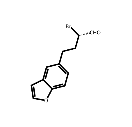 O=C[C@@H](Br)CCc1ccc2occc2c1